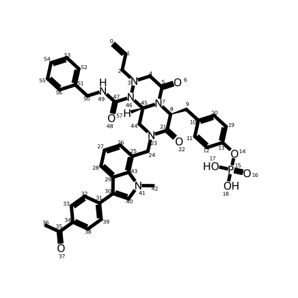 C=CCN1CC(=O)N2[C@@H](Cc3ccc(OP(=O)(O)O)cc3)C(=O)N(Cc3cccc4c(-c5ccc(C(C)=O)cc5)cn(C)c34)C[C@@H]2N1C(=O)NCc1ccccc1